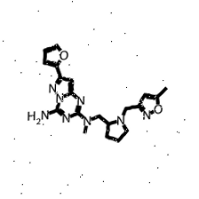 Cc1cc(CN2CCCC2CN(C)c2nc(N)n3nc(-c4ccco4)cc3n2)no1